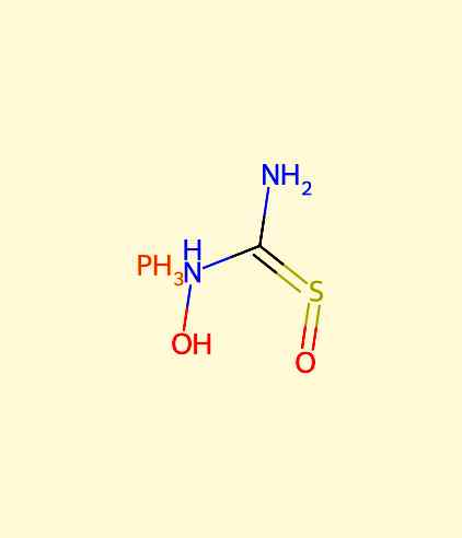 NC(NO)=S=O.P